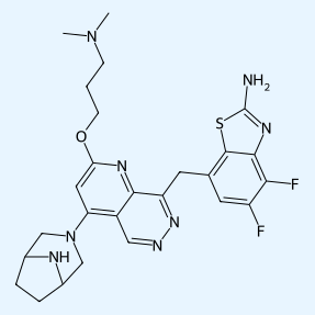 CN(C)CCCOc1cc(N2CC3CCC(C2)N3)c2cnnc(Cc3cc(F)c(F)c4nc(N)sc34)c2n1